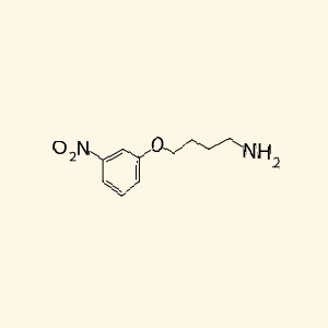 NCCCCOc1cccc([N+](=O)[O-])c1